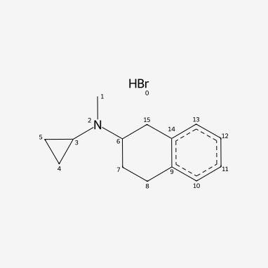 Br.CN(C1CC1)C1CCc2ccccc2C1